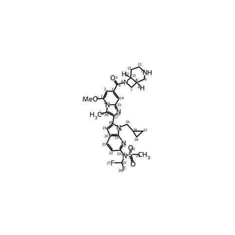 COc1cc(C(=O)N2C[C@H]3CNCC[C@H]32)cc2nc(-c3cc4ccc(N(C(F)F)S(C)(=O)=O)nc4n3CC3CC3)c(C)n12